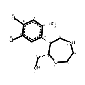 Cl.OC[C@H]1OCCNC[C@H]1c1ccc(Cl)c(Cl)c1